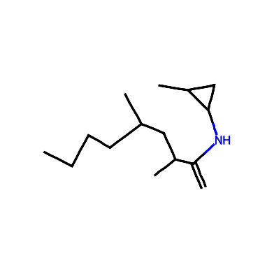 C=C(NC1CC1C)C(C)CC(C)CCCC